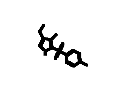 CCc1c[nH]c(S(=O)(=O)c2ccc(C)cc2)c1C